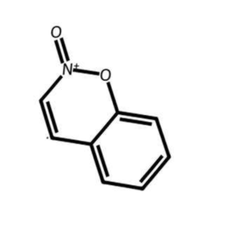 O=[n+]1c[c]c2ccccc2o1